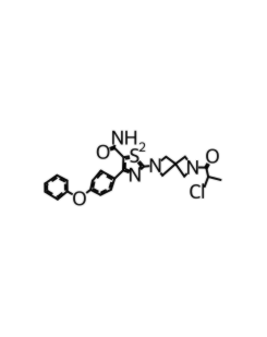 CC(Cl)C(=O)N1CC2(C1)CN(c1nc(-c3ccc(Oc4ccccc4)cc3)c(C(N)=O)s1)C2